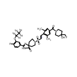 [2H]C([2H])([2H])C([2H])([2H])Oc1cc(C2=NC3(CCN(S(=O)(=O)/C=C/c4c(C)cc(C(=O)N5CCC(O)(CF)CC5)cc4C)CC3)C(=O)N2)ccc1F